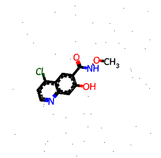 CONC(=O)c1cc2c(Cl)ccnc2cc1O